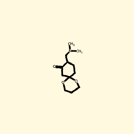 CN(C)CC1CCC2(CC1=O)OCCCO2